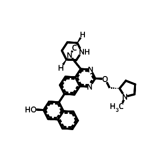 CN1CCC[C@H]1COc1nc(N2C[C@@H]3CC[C@H]2CN3)c2ccc(-c3cc(O)cc4ccccc34)cc2n1